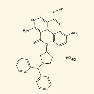 CC1=C(C(=O)OC(C)C)C(c2cccc([N+](=O)[O-])c2)C(C(=O)OC2CCN(C(c3ccccc3)c3ccccc3)C2)=C(N)N1.Cl.Cl